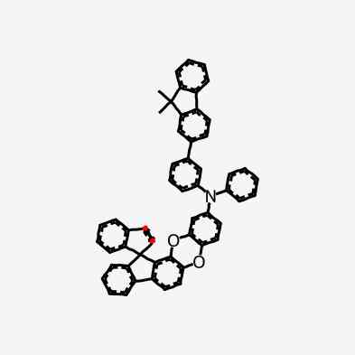 CC1(C)c2ccccc2-c2ccc(-c3cccc(N(c4ccccc4)c4ccc5c(c4)Oc4c(ccc6c4C4(c7ccccc7-c7ccccc74)c4ccccc4-6)O5)c3)cc21